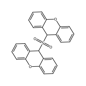 O=S(=O)(C1c2ccccc2Oc2ccccc21)C1c2ccccc2Oc2ccccc21